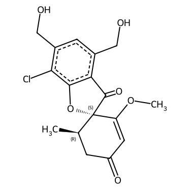 COC1=CC(=O)C[C@@H](C)[C@]12Oc1c(Cl)c(CO)cc(CO)c1C2=O